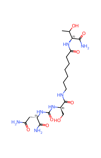 CC(O)[C@H](NC(=O)CCCCCCNC(=O)[C@@H](CO)NC(=O)N[C@@H](CC(N)=O)C(N)=O)C(N)=O